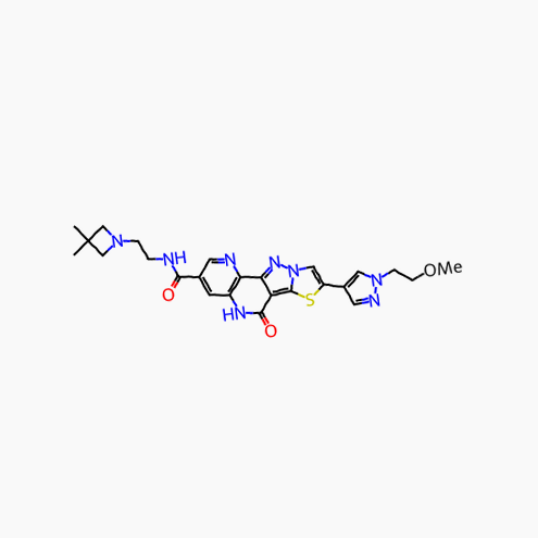 COCCn1cc(-c2cn3nc4c5ncc(C(=O)NCCN6CC(C)(C)C6)cc5[nH]c(=O)c4c3s2)cn1